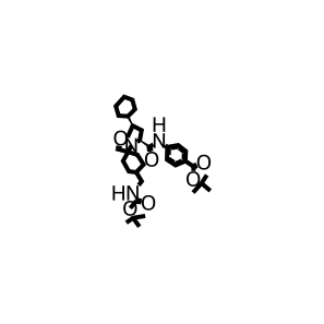 CC(C)(C)OC(=O)NCC1CCC(C=O)(N2C[C@@H](C3CCCCC3)C[C@H]2C(=O)Nc2ccc(C(=O)OC(C)(C)C)cc2)CC1